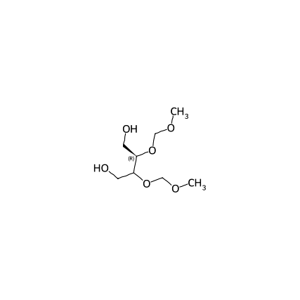 COCOC(CO)[C@@H](CO)OCOC